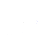 CO/C1=C(\NCC(=O)O)CCCCCC\C1=N/CC(=O)O